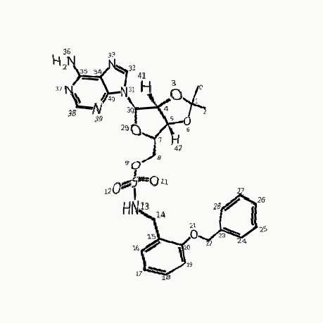 CC1(C)O[C@@H]2[C@H](O1)[C@@H](COS(=O)(=O)NCc1ccccc1OCc1ccccc1)O[C@H]2n1cnc2c(N)ncnc21